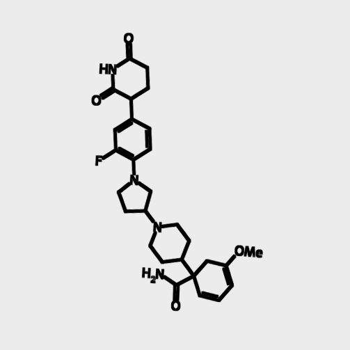 COC1=CC=CC(C(N)=O)(C2CCN(C3CCN(c4ccc(C5CCC(=O)NC5=O)cc4F)C3)CC2)C1